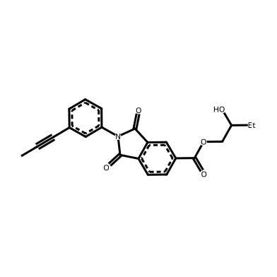 CC#Cc1cccc(N2C(=O)c3ccc(C(=O)OCC(O)CC)cc3C2=O)c1